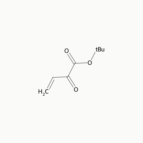 C=CC(=O)C(=O)OC(C)(C)C